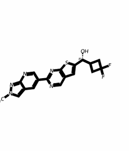 Cn1cc2cc(-c3ncc4cc([C@H](O)C5CC(F)(F)C5)sc4n3)cnc2n1